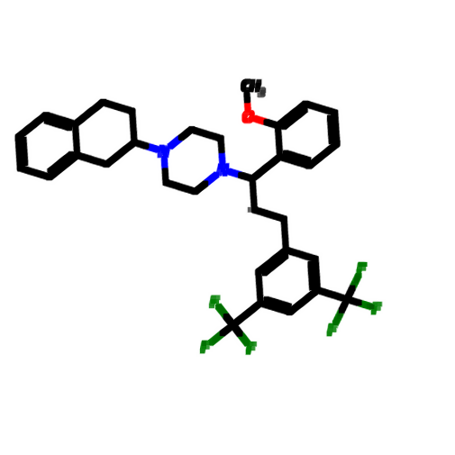 COc1ccccc1C([CH]Cc1cc(C(F)(F)F)cc(C(F)(F)F)c1)N1CCN(C2CCc3ccccc3C2)CC1